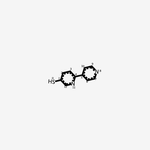 Sc1ccc(-c2ccncc2)nc1